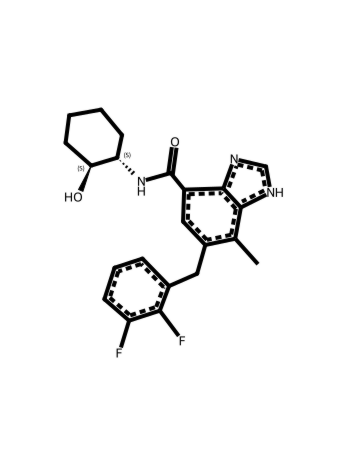 Cc1c(Cc2cccc(F)c2F)cc(C(=O)N[C@H]2CCCC[C@@H]2O)c2nc[nH]c12